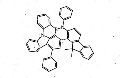 CC1(C)c2ccccc2-c2ccc3c(c21)-c1cc(-c2ccccc2)c2c4ccccc4n4c2c1B(c1ccccc1-4)N3c1ccccc1